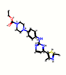 CCOC(=O)N1CCN(c2ccc(Nc3nccc(-c4sc(C)nc4C)n3)cc2)CC1